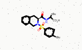 CCCCC(NC(=O)[C@@H]1Cc2ccccc2CN1S(=O)(=O)c1ccc(C(C)(C)C)cc1)C(=O)O